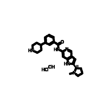 CN1CCC[C@@H]1c1cc2cnc(NC(=O)c3cccc(C4CCNCC4)c3)cc2[nH]1.Cl.Cl